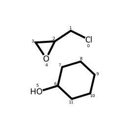 ClCC1CO1.OC1CCCCC1